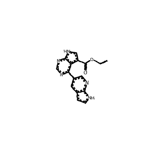 CCOC(=O)c1c[nH]c2ncnc(-c3cnc4[nH]ccc4c3)c12